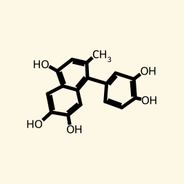 Cc1cc(O)c2cc(O)c(O)cc2c1-c1ccc(O)c(O)c1